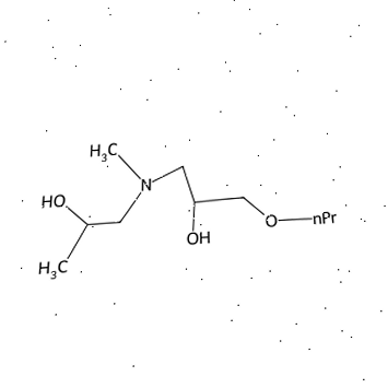 CCCOCC(O)CN(C)CC(C)O